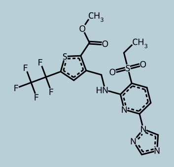 CCS(=O)(=O)c1ccc(-n2cncn2)nc1NCc1cc(C(F)(F)C(F)(F)F)sc1C(=O)OC